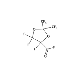 O=C(F)C1(F)OC(C(F)(F)F)(C(F)(F)F)OC1(F)F